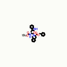 CC(C)(C)OC(=O)N[C@@H](Cc1c[nH]c2ccccc12)C(=O)N1Cc2ccccc2C[C@H]1C(=O)OCc1ccccc1